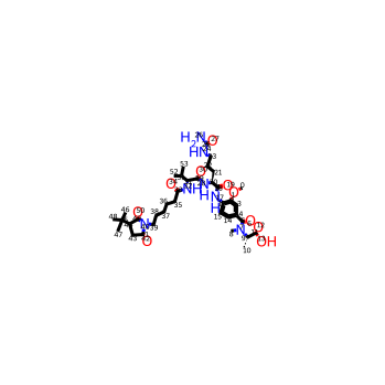 COc1cc(C(=O)N(C)[C@@H](C)C(=O)O)ccc1NC(=O)[C@H](CCCNC(N)=O)NC(=O)[C@@H](NC(=O)CCCCCN1C(=O)CC(C(C)(C)C)C1=O)C(C)C